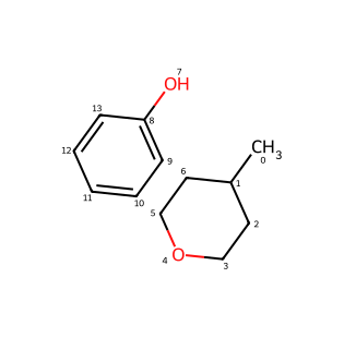 CC1CCOCC1.Oc1ccccc1